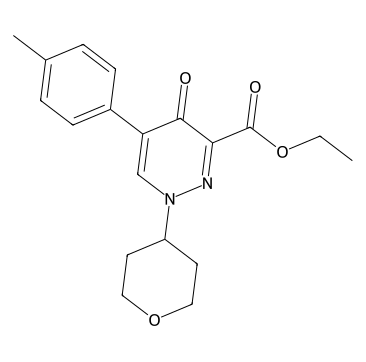 CCOC(=O)c1nn(C2CCOCC2)cc(-c2ccc(C)cc2)c1=O